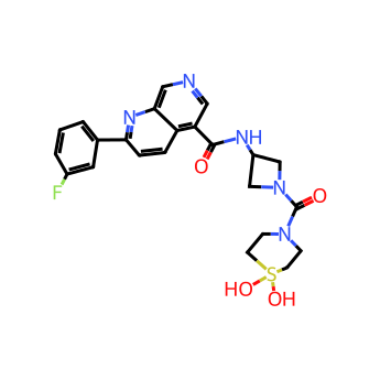 O=C(NC1CN(C(=O)N2CCS(O)(O)CC2)C1)c1cncc2nc(-c3cccc(F)c3)ccc12